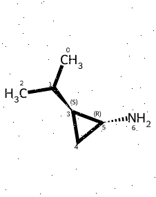 CC(C)[C@@H]1C[C@H]1N